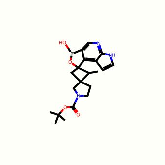 CC1C2(CCN(C(=O)OC(C)(C)C)C2)CC12OB(O)c1cnc3[nH]ccc3c12